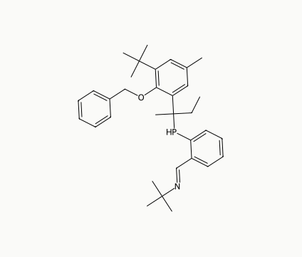 CCC(C)(Pc1ccccc1/C=N/C(C)(C)C)c1cc(C)cc(C(C)(C)C)c1OCc1ccccc1